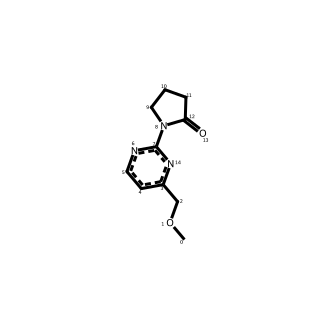 COCc1ccnc(N2CCCC2=O)n1